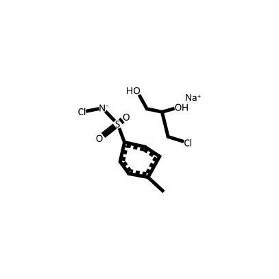 Cc1ccc(S(=O)(=O)[N-]Cl)cc1.OCC(O)CCl.[Na+]